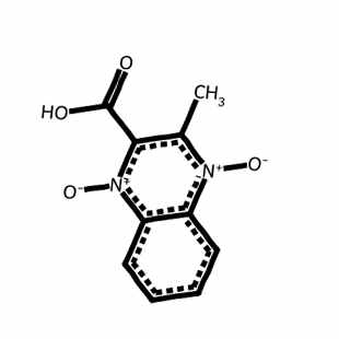 Cc1c(C(=O)O)[n+]([O-])c2ccccc2[n+]1[O-]